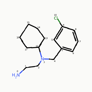 NCCN(Cc1cccc(Cl)c1)C1CCCCC1